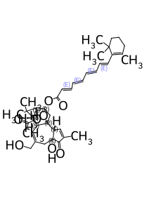 CC(=O)O[C@]12[C@H]([C@@H]3C=C(CO)C[C@]4(O)C(=O)C(C)=C[C@H]4[C@@]3(O)C[C@H]1OC(=O)/C=C/C=C/C=C/C=C/C1=C(C)CCCC1(C)C)C2(C)C